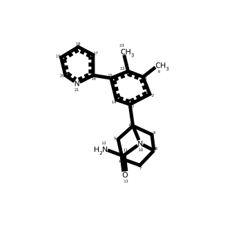 Cc1cc(C23CCCC(C2)N3C(N)=O)cc(-c2ccccn2)c1C